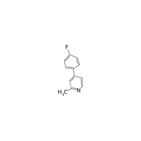 Cc1cc(-c2ccc(F)cc2)ccn1